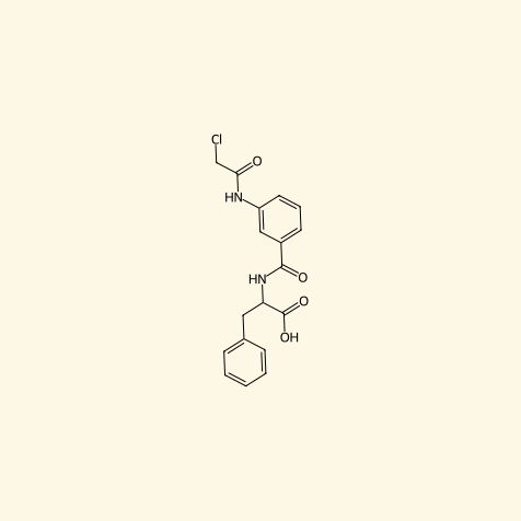 O=C(CCl)Nc1cccc(C(=O)NC(Cc2ccccc2)C(=O)O)c1